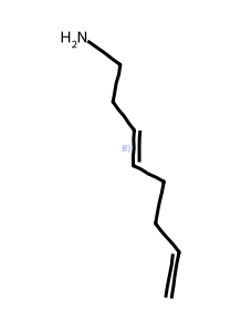 C=CCC/C=C/CCN